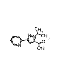 CC(C)n1nc(-c2ccccn2)cc1C(=O)O